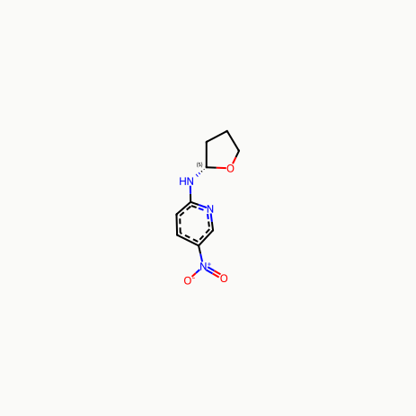 O=[N+]([O-])c1ccc(N[C@@H]2CCCO2)nc1